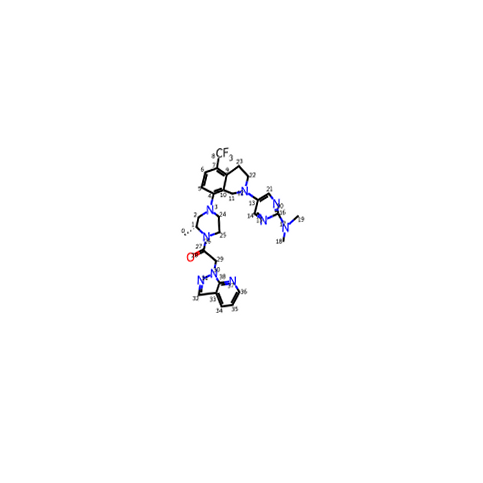 C[C@@H]1CN(c2ccc(C(F)(F)F)c3c2CN(c2cnc(N(C)C)nc2)CC3)CCN1C(=O)Cn1ncc2cccnc21